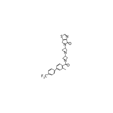 Cc1cc(-c2ccc(C(F)(F)F)cc2)ccc1C(=O)N1CC(N2CC(N3Cc4scnc4C3=O)C2)C1